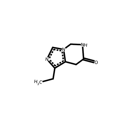 CCc1ncn2c1CC(=O)NC2